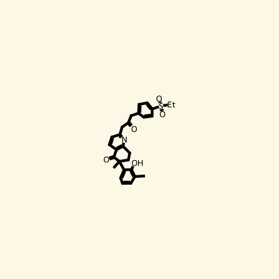 CCS(=O)(=O)c1ccc(CC(=O)Cc2ccc3c(n2)CCC(C)(c2cccc(C)c2O)C3=O)cc1